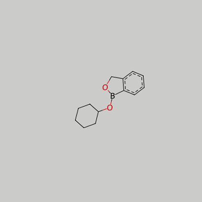 c1ccc2c(c1)COB2OC1CCCCC1